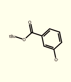 CC(C)(C)OC(=O)c1cccc([O])c1